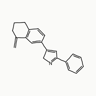 C=C1CCCc2ccc(C3=CC(c4ccccc4)=NC3)cc21